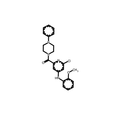 COc1ccccc1Nc1cc(Cl)nc(C(=O)N2CCN(c3ccccc3)CC2)c1